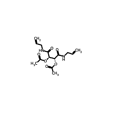 C=CCNC(=O)[C@H](OC(C)=O)[C@@H](OC(C)=O)C(=O)NCC=C